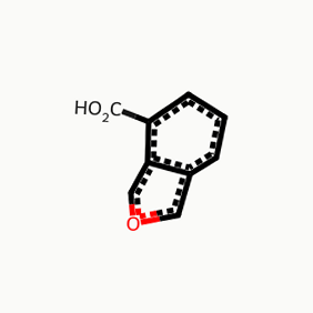 O=C(O)c1cccc2cocc12